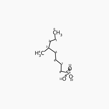 CCCC(C)CCCCS([O])(=O)=O